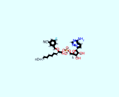 CCCCCCCCCCCCCCCC[C@H](COP(=O)(O)OC[C@@]1(C)O[C@@H](c2ccc3c(N)ncnn23)[C@H](O)[C@@H]1O)OCc1cc(F)cc(C#N)c1